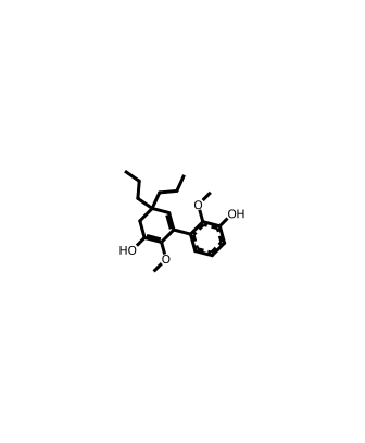 CCCC1(CCC)C=C(c2cccc(O)c2OC)C(OC)=C(O)C1